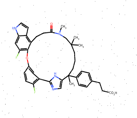 CN1CC(C)(C)CCCC(C)(c2ccc(CCC(=O)O)cc2)c2cnc([nH]2)-c2cc(ccc2F)Oc2c(F)cc3[nH]ccc3c2CCC1=O